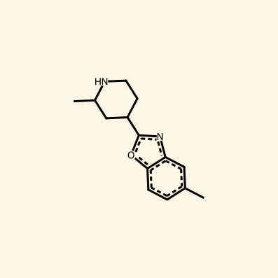 Cc1ccc2oc(C3CCNC(C)C3)nc2c1